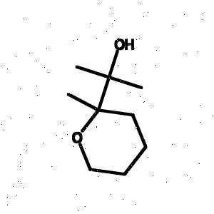 CC(C)(O)C1(C)CCCCO1